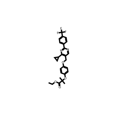 CCOC(=O)C(C)(C)Oc1ccc(OCc2cnc(-c3ccc(C(F)(F)F)cc3)nc2C2CC2)cc1